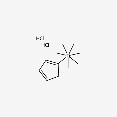 Cl.Cl.[CH3][Ti]([CH3])([CH3])([CH3])([CH3])([CH3])[C]1=CC=CC1